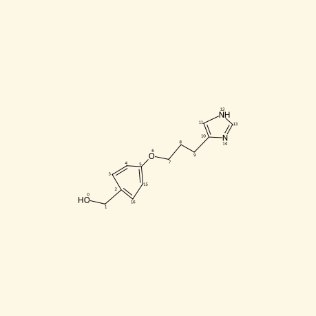 OCc1ccc(OCCCc2c[nH]cn2)cc1